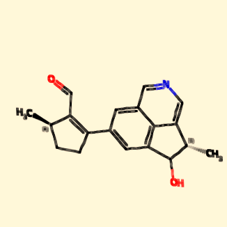 C[C@@H]1CCC(c2cc3c4c(cncc4c2)[C@H](C)C3O)=C1C=O